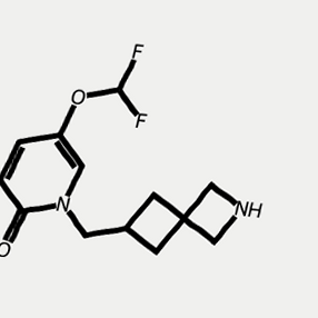 O=c1ccc(OC(F)F)cn1CC1CC2(CNC2)C1